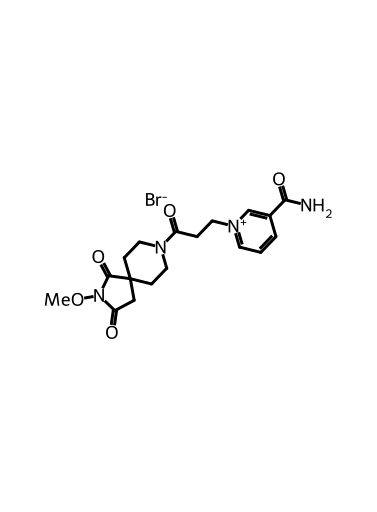 CON1C(=O)CC2(CCN(C(=O)CC[n+]3cccc(C(N)=O)c3)CC2)C1=O.[Br-]